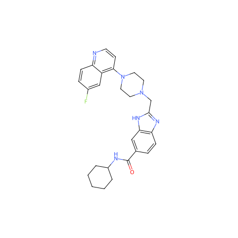 O=C(NC1CCCCC1)c1ccc2nc(CN3CCN(c4ccnc5ccc(F)cc45)CC3)[nH]c2c1